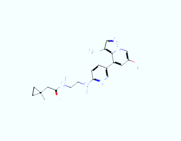 CCOc1cc(-c2ccc(NCCNC(=O)CC3(C)CC3)nc2)c2c(C#N)cnn2c1